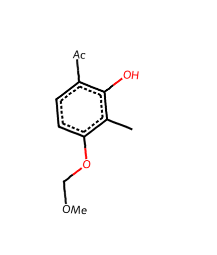 COCOc1ccc(C(C)=O)c(O)c1C